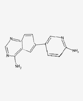 Nc1ccc(-c2ccc3ncnc(N)c3c2)cn1